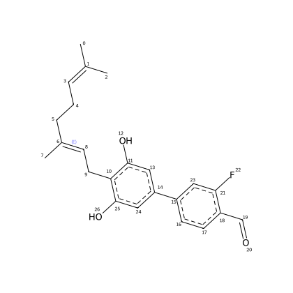 CC(C)=CCC/C(C)=C/Cc1c(O)cc(-c2ccc(C=O)c(F)c2)cc1O